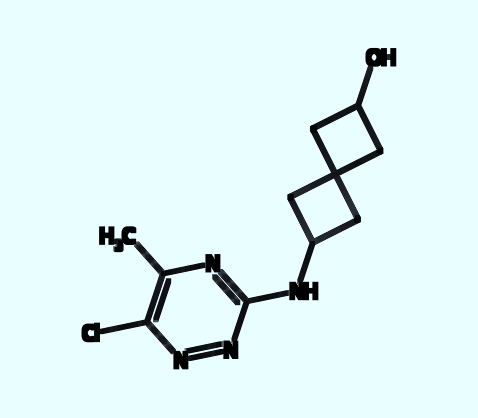 Cc1nc(NC2CC3(CC(O)C3)C2)nnc1Cl